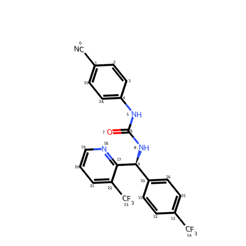 N#Cc1ccc(NC(=O)N[C@@H](c2ccc(C(F)(F)F)cc2)c2ncccc2C(F)(F)F)cc1